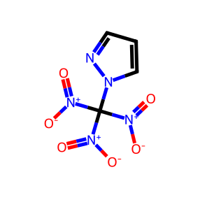 O=[N+]([O-])C(n1cccn1)([N+](=O)[O-])[N+](=O)[O-]